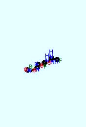 N=c1c(C(=O)Nc2ccc(Oc3ccnc4c(Br)c(OCCN5CCOCC5)ncc34)c(F)c2)c[nH]cc1-c1ccc(F)cc1